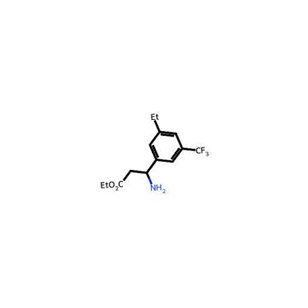 CCOC(=O)CC(N)c1cc(CC)cc(C(F)(F)F)c1